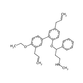 C=CCc1ccc(OC(CCNC)c2ccccc2)c(-c2ccc(OCC)c(CC=C)c2)c1